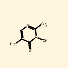 Cc1cnc(C)n(O)c1=O